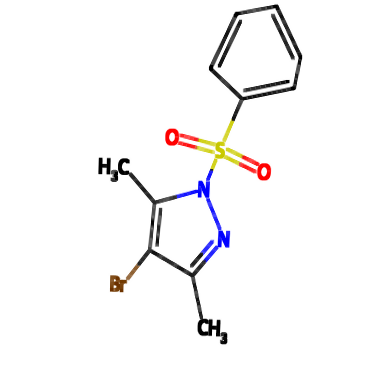 Cc1nn(S(=O)(=O)c2ccccc2)c(C)c1Br